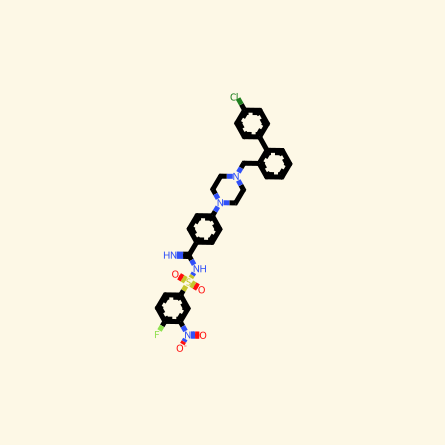 N=C(NS(=O)(=O)c1ccc(F)c([N+](=O)[O-])c1)c1ccc(N2CCN(Cc3ccccc3-c3ccc(Cl)cc3)CC2)cc1